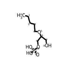 CCCCCOC(CO)COP(=O)(O)O